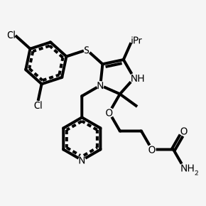 CC(C)C1=C(Sc2cc(Cl)cc(Cl)c2)N(Cc2ccncc2)C(C)(OCCOC(N)=O)N1